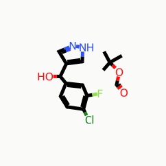 CC(C)(C)OC=O.OC(c1cn[nH]c1)c1ccc(Cl)c(F)c1